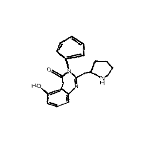 O=c1c2c(O)cccc2nc(C2CCCN2)n1-c1ccccc1